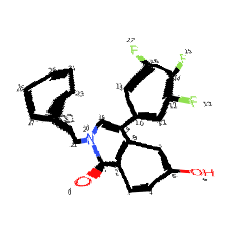 O=c1c2ccc(O)cc2c(-c2cc(F)c(F)c(F)c2)cn1Cc1ccccc1